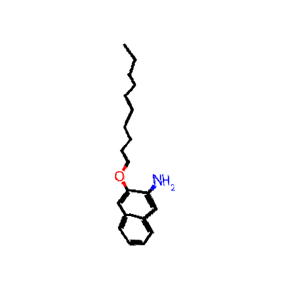 CCCCCCCCCCOc1cc2ccccc2cc1N